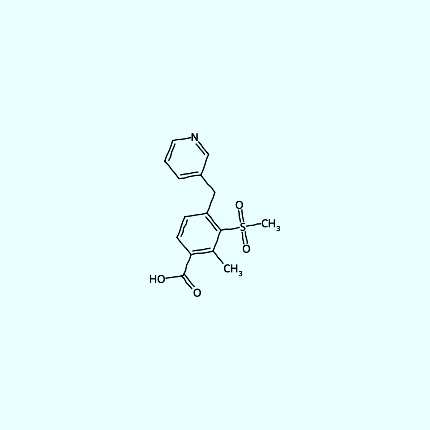 Cc1c(C(=O)O)ccc(Cc2cccnc2)c1S(C)(=O)=O